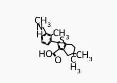 CNCc1cccc(-c2sc3c(c2C(=O)O)CC(C)(C)CC3)c1C